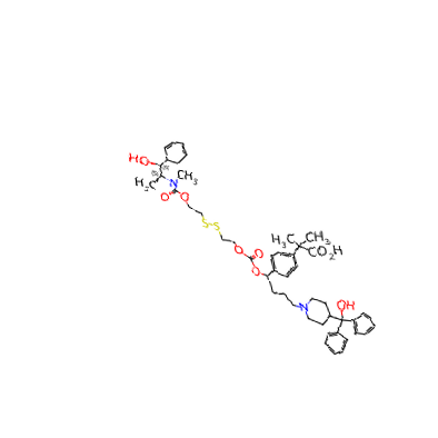 C[C@@H]([C@@H](O)C1C=CC=CC1)N(C)C(=O)OCCSSCCOC(=O)OC(CCCN1CCC(C(O)(c2ccccc2)c2ccccc2)CC1)c1ccc(C(C)(C)C(=O)O)cc1